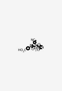 CC1(C#N)CCC(N(CC(=O)c2c(Cl)cncc2Cl)C(=O)c2cnn(C3CCC(C(=O)O)CC3)c2C(F)(F)F)C1